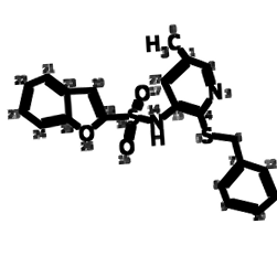 Cc1cnc(SCc2ccccc2)c(NS(=O)(=O)c2cc3ccccc3o2)c1